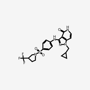 O=c1[nH]ccc2c1c(Nc1ccc(S(=O)(=O)N3CCC(C(F)(F)F)C3)cc1)nn2CC1CC1